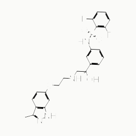 Cc1n[nH]c2cc(OCCNC[C@H](O)c3cccc(NS(=O)(=O)c4c(F)cccc4F)c3)ccc12